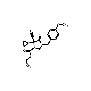 CCSC(=O)C1CN(Cc2ccc(OC)cc2)C(=O)C1(C#N)C1CC1